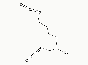 CCC(CCCCN=C=O)CN=C=O